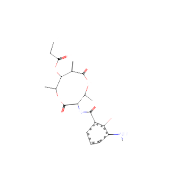 CC(C)CC(=O)OC1C(C)OC(=O)C(NC(=O)c2cccc(NC=O)c2O)C(C)OC(=O)C1C